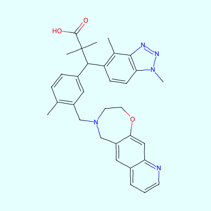 Cc1ccc(C(c2ccc3c(nnn3C)c2C)C(C)(C)C(=O)O)cc1CN1CCOc2cc3ncccc3cc2C1